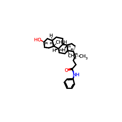 C[C@H](CCC(=O)Nc1ccccc1)[C@H]1CC[C@H]2[C@@H]3CC[C@@H]4C[C@H](O)CC[C@]4(C)[C@H]3CC[C@]12C